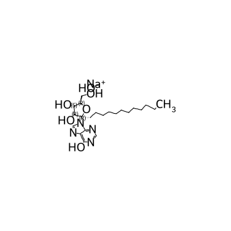 CCCCCCCCCCCC[C@@]1(n2cnc3c(O)ncnc32)O[C@H](CO)[C@@H](O)[C@H]1O.[Na+].[OH-]